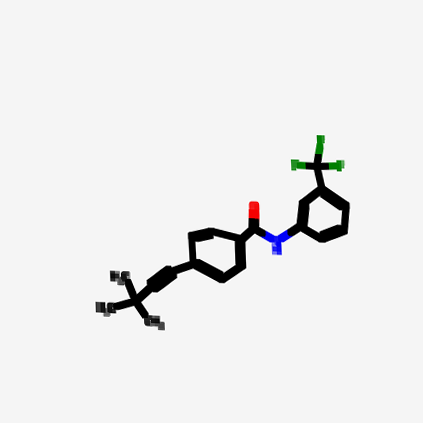 CC(C)(C)C#Cc1ccc(C(=O)Nc2cccc(C(F)(F)F)c2)cc1